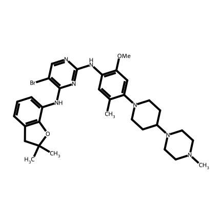 COc1cc(N2CCC(N3CCN(C)CC3)CC2)c(C)cc1Nc1ncc(Br)c(Nc2cccc3c2OC(C)(C)C3)n1